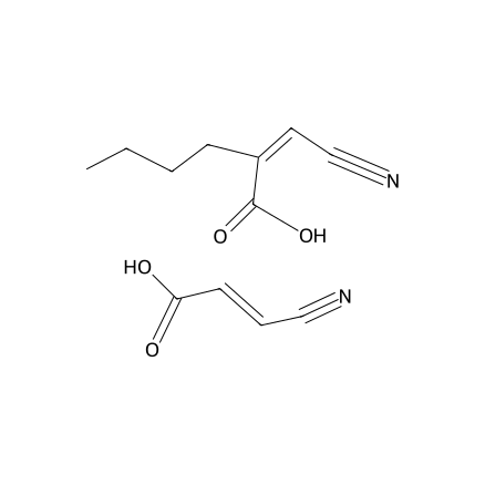 CCCCC(=CC#N)C(=O)O.N#CC=CC(=O)O